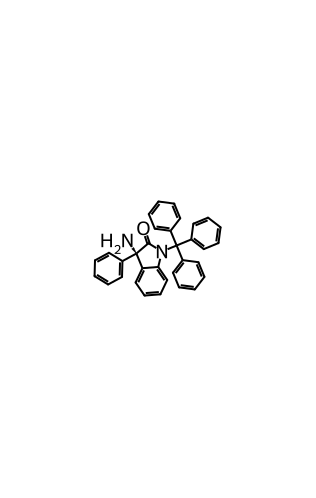 N[C@@]1(c2ccccc2)C(=O)N(C(c2ccccc2)(c2ccccc2)c2ccccc2)c2ccccc21